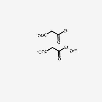 CCC(=O)CC(=O)[O-].CCC(=O)CC(=O)[O-].[Zn+2]